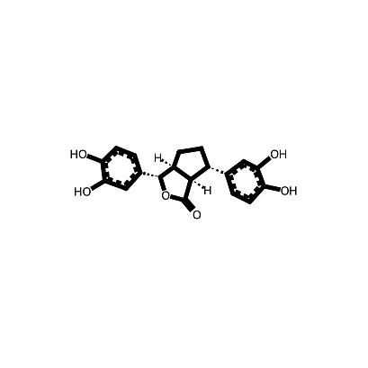 O=C1O[C@H](c2ccc(O)c(O)c2)[C@H]2CC[C@H](c3ccc(O)c(O)c3)[C@@H]12